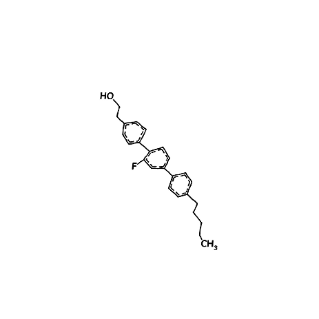 CCCCCc1ccc(-c2ccc(-c3ccc(CCO)cc3)c(F)c2)cc1